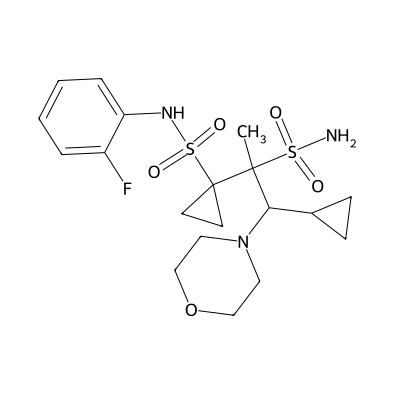 CC(C(C1CC1)N1CCOCC1)(C1(S(=O)(=O)Nc2ccccc2F)CC1)S(N)(=O)=O